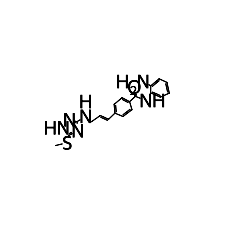 CSc1nc(NCC=Cc2ccc(C(=O)Nc3ccccc3N)cc2)n[nH]1